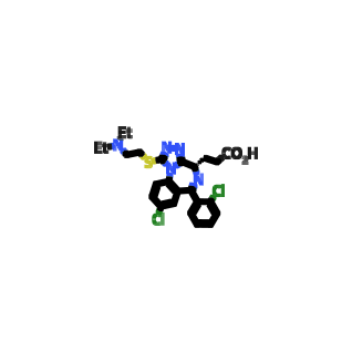 CCN(CC)CCSc1nnc2n1-c1ccc(Cl)cc1C(c1ccccc1Cl)=N[C@H]2CCC(=O)O